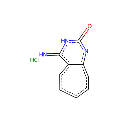 Cl.N=c1[nH]c(=O)nc2cccccc1-2